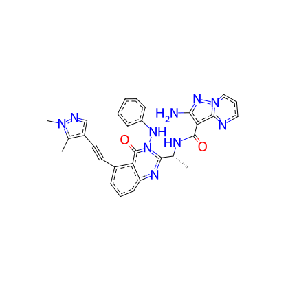 Cc1c(C#Cc2cccc3nc([C@@H](C)NC(=O)c4c(N)nn5cccnc45)n(Nc4ccccc4)c(=O)c23)cnn1C